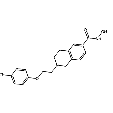 O=C(NO)c1ccc2c(c1)CCN(CCOc1ccc(Cl)cc1)C2